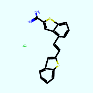 Cl.N=C(N)c1cc2c(C=Cc3cc4ccccc4s3)cccc2s1